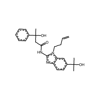 C=CCCn1c(NC(=O)CC(C)(O)c2ccccc2)nc2ccc(C(C)(C)O)cc21